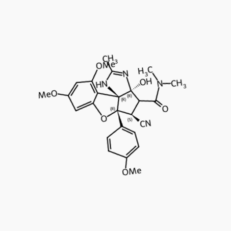 COc1ccc([C@@]23Oc4cc(OC)cc(OC)c4[C@@]24NC(C)=N[C@@]4(O)C(C(=O)N(C)C)[C@H]3C#N)cc1